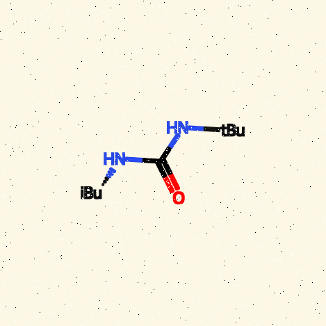 CC[C@@H](C)NC(=O)NC(C)(C)C